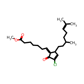 COC(=O)CCCCC/C=C1\C(=O)C(Cl)=CC1CCC(C)CCC=C(C)C